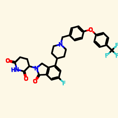 O=C1CCC(N2Cc3c(cc(F)cc3C3CCN(Cc4ccc(Oc5ccc(C(F)(F)F)cc5)cc4)CC3)C2=O)C(=O)N1